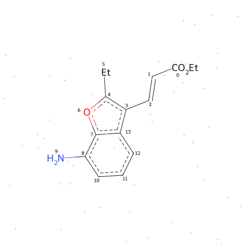 CCOC(=O)/C=C/c1c(CC)oc2c(N)cccc12